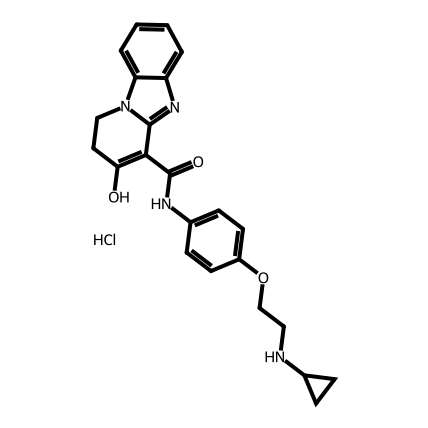 Cl.O=C(Nc1ccc(OCCNC2CC2)cc1)C1=C(O)CCn2c1nc1ccccc12